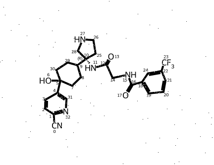 N#Cc1ccc(C2(O)CCC([C@]3(NC(=O)CNC(=O)c4cccc(C(F)(F)F)c4)CCNC3)CC2)cn1